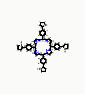 B1C=CC=C1c1ccc(-c2c3nc(c(-c4ccc(C5=CC=CB5)cc4)c4ccc([nH]4)c(-c4ccc(C5=CC=CB5)cc4)c4nc(c(-c5ccc(C6=CC=CB6)cc5)c5ccc2[nH]5)C=C4)C=C3)cc1